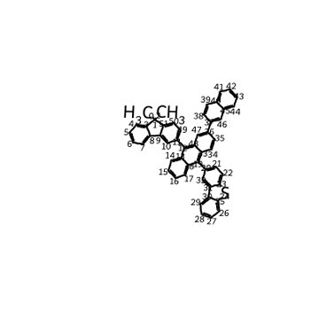 CC1(C)c2ccccc2-c2cc(-c3c4ccccc4c(-c4ccc5sc6ccccc6c5c4)c4ccc(-c5ccc6ccccc6c5)cc34)ccc21